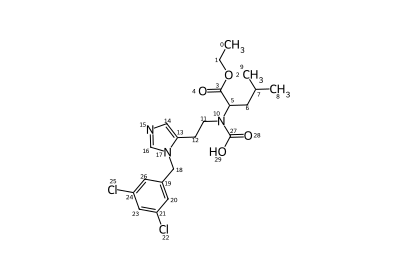 CCOC(=O)C(CC(C)C)N(CCc1cncn1Cc1cc(Cl)cc(Cl)c1)C(=O)O